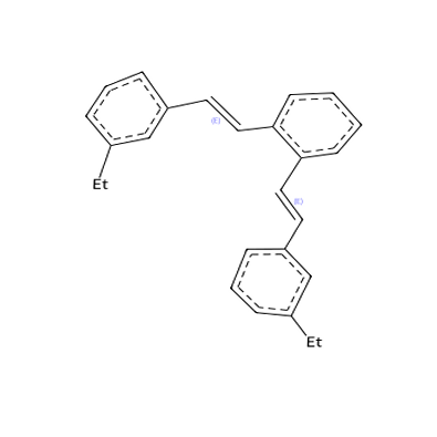 CCc1cccc(/C=C/c2ccccc2/C=C/c2cccc(CC)c2)c1